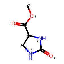 COC(=O)C1CNC(=O)N1